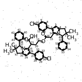 CC1(C)Cc2cc(-c3ccc(Cl)cc3)c(CC(=O)OCCC(C(=O)O)c3c(-c4ccc(Cl)cc4)cc4n3C(c3ccccc3)C(C)(C)C4)n2C1c1ccccc1